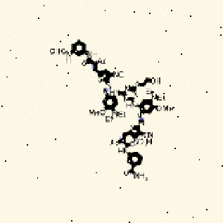 [C-]#[N+]c1cc(/C=C(\C(C)=O)C(=O)Nc2cccc(NC=O)c2)sc1/N=N/c1cc(OC)c(N(CC)CC)cc1Nc1nc(Nc2cc(N(CC)CC)c(OC)cc2/N=N/c2sc(/C=C(/C(C)=O)C(=O)Nc3cccc(C(N)=O)c3)c(S(=O)(=O)O)c2C#N)nc(SCCO)n1